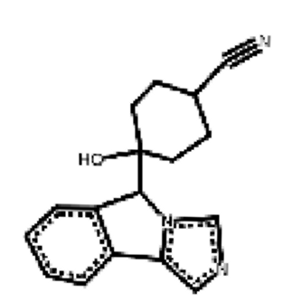 N#CC1CCC(O)(C2c3ccccc3-c3cncn32)CC1